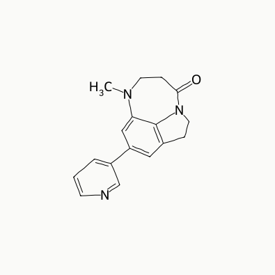 CN1CCC(=O)N2CCc3cc(-c4cccnc4)cc1c32